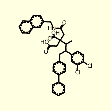 CC(C(Cc1ccc(-c2ccccc2)cc1)c1ccc(Cl)c(Cl)c1)C(CC(=O)O)(CC(=O)NCc1ccc2ccccc2c1)C(=O)O